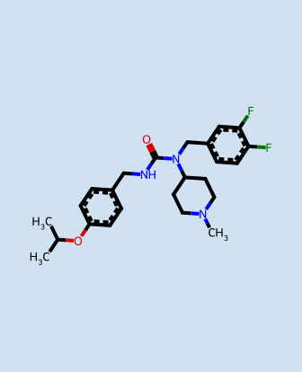 CC(C)Oc1ccc(CNC(=O)N(Cc2ccc(F)c(F)c2)C2CCN(C)CC2)cc1